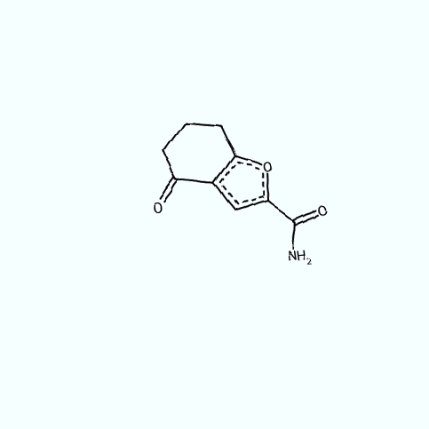 NC(=O)c1cc2c(o1)CCCC2=O